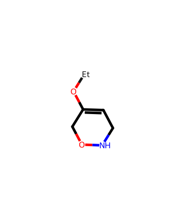 CCOC1=CCNOC1